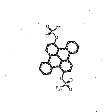 O=S(=O)(Oc1ccc2c3ccccc3c3c(OS(=O)(=O)C(F)(F)F)ccc4c5ccccc5c1c2c43)C(F)(F)F